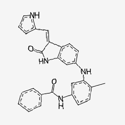 Cc1ccc(NC(=O)c2ccccc2)cc1Nc1ccc2c(c1)NC(=O)C2=Cc1ccc[nH]1